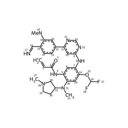 C=CC(=O)Nc1cc(Nc2cc(-c3ccc(C=N)c(NC)c3)ncn2)c(OC(F)F)cc1N(C)C1CCN(C)C1